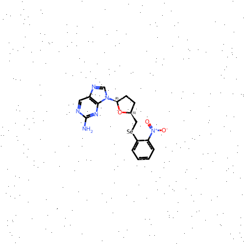 Nc1ncc2ncn([C@H]3CC[C@@H](C[Se]c4ccccc4[N+](=O)[O-])O3)c2n1